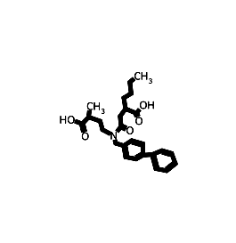 CCCCC(CC(=O)N(CCC(C)C(=O)O)Cc1ccc(-c2ccccc2)cc1)C(=O)O